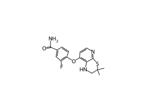 CC1(C)CNc2c(Oc3ccc(C(N)=O)cc3F)ccnc2S1